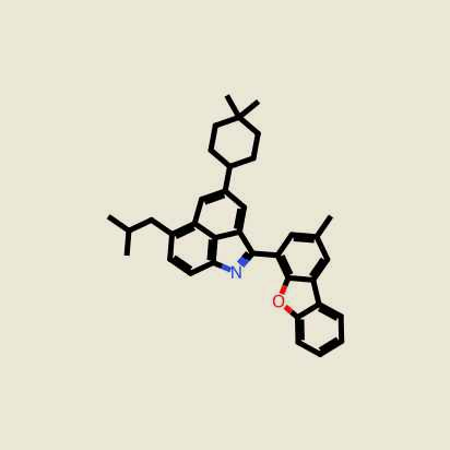 Cc1cc(C2=Nc3ccc(CC(C)C)c4cc(C5CCC(C)(C)CC5)cc2c34)c2oc3ccccc3c2c1